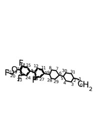 C=CC1CCC(C2CCC(c3ccc(-c4cc(F)c(OCF)c(F)c4)c(F)c3)CC2)CC1